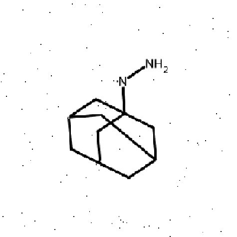 N[N]C12CC3CC(CC(C3)C1)C2